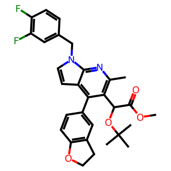 COC(=O)C(OC(C)(C)C)c1c(C)nc2c(ccn2Cc2ccc(F)c(F)c2)c1-c1ccc2c(c1)CCO2